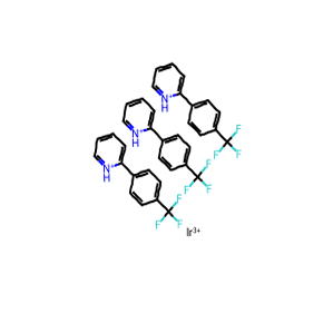 FC(F)(F)c1ccc(-c2cccc[nH+]2)cc1.FC(F)(F)c1ccc(-c2cccc[nH+]2)cc1.FC(F)(F)c1ccc(-c2cccc[nH+]2)cc1.[Ir+3]